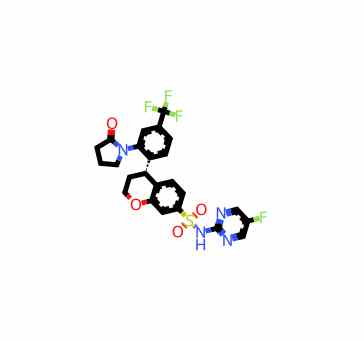 O=C1CCCN1c1cc(C(F)(F)F)ccc1[C@H]1CCOc2cc(S(=O)(=O)Nc3ncc(F)cn3)ccc21